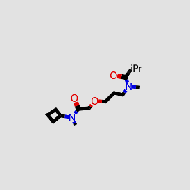 CC(C)C(=O)N(C)CCCOCC(=O)N(C)C1CCC1